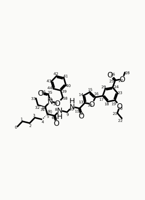 CCCCC[C@@H](C(=O)NCNC(=O)c1ccc(-c2cc(OCC)cc(C(=O)OC)c2)o1)[C@@H](CC)N(C=O)OCc1ccccc1